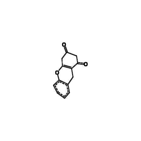 O=C1CC(=O)C2=C(C1)Oc1ccccc1C2